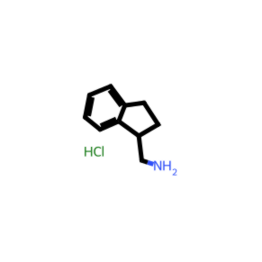 Cl.NCC1CCc2ccccc21